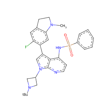 CN1CCc2cc(F)c(-c3cn(C4CN(C(C)(C)C)C4)c4nccc(NS(=O)(=O)c5ccccc5)c34)cc21